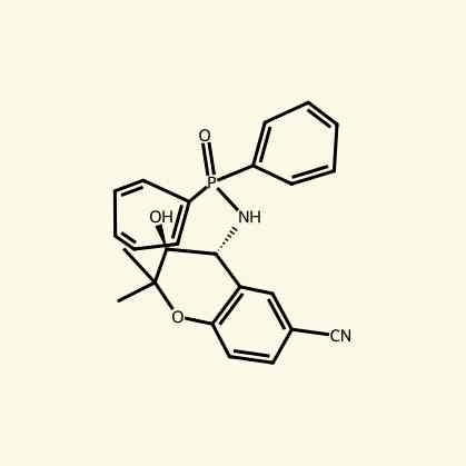 CC1(C)Oc2ccc(C#N)cc2[C@@H](NP(=O)(c2ccccc2)c2ccccc2)[C@@H]1O